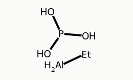 C[CH2][AlH2].OP(O)O